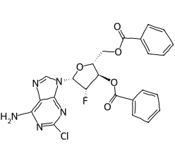 Nc1nc(Cl)nc2c1ncn2[C@@H]1O[C@H](COC(=O)c2ccccc2)[C@@H](OC(=O)c2ccccc2)[C@@H]1F